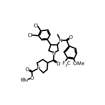 COc1ccc(C(=O)N(C)C2CN(C(=O)C3CCN(C(=O)OC(C)(C)C)CC3)CC2c2ccc(Cl)c(Cl)c2)cc1C(F)(F)F